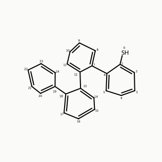 Sc1ccccc1-c1ccccc1-c1ccccc1-c1ccccc1